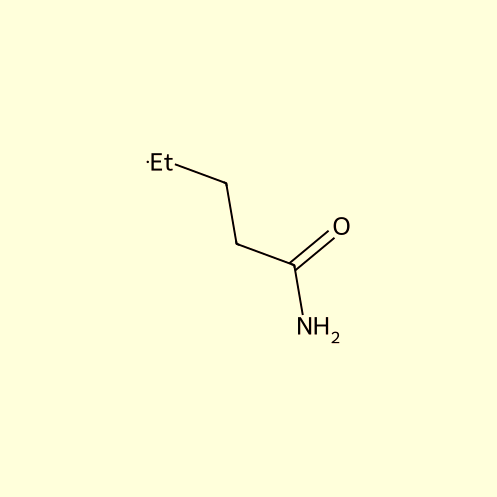 C[CH]CCC(N)=O